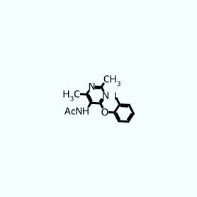 CC(=O)Nc1c(C)nc(C)nc1Oc1ccccc1I